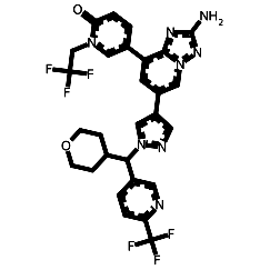 Nc1nc2c(-c3ccc(=O)n(CC(F)(F)F)c3)cc(-c3cnn(C(c4ccc(C(F)(F)F)nc4)C4CCOCC4)c3)cn2n1